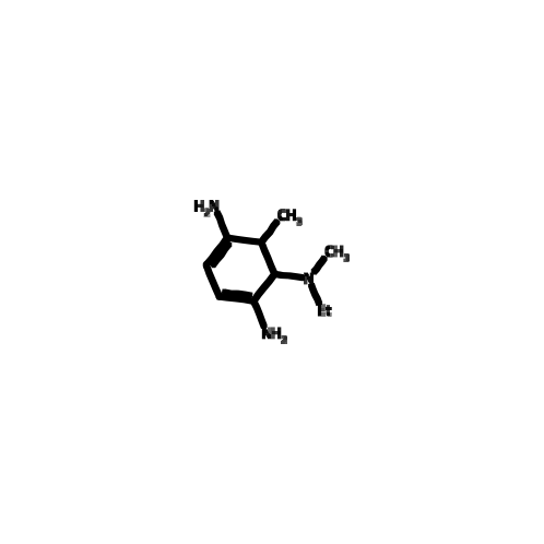 CCN(C)C1C(N)=CC=C(N)C1C